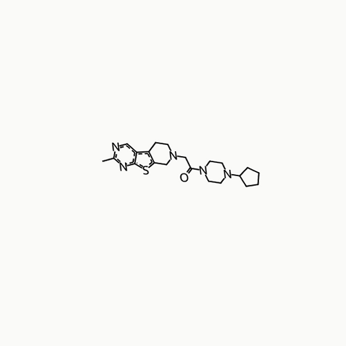 Cc1ncc2c3c(sc2n1)CN(CC(=O)N1CCN(C2CCCC2)CC1)CC3